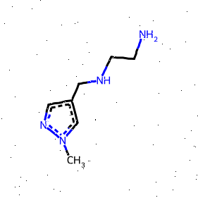 Cn1cc(CNCCN)cn1